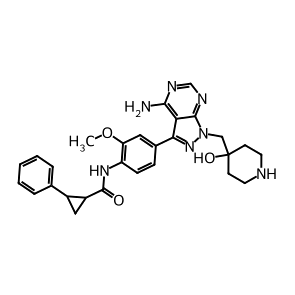 COc1cc(-c2nn(CC3(O)CCNCC3)c3ncnc(N)c23)ccc1NC(=O)C1CC1c1ccccc1